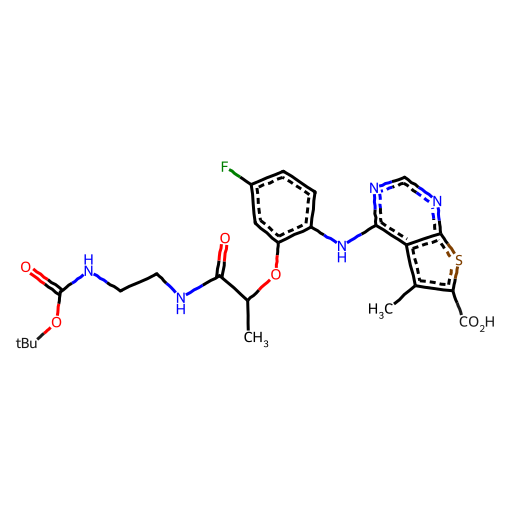 Cc1c(C(=O)O)sc2ncnc(Nc3ccc(F)cc3OC(C)C(=O)NCCNC(=O)OC(C)(C)C)c12